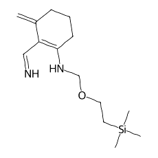 C=C1CCCC(NCOCC[Si](C)(C)C)=C1C=N